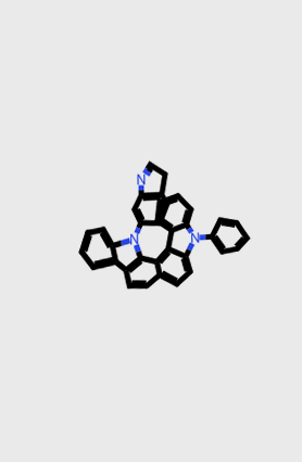 C1=Nc2cc(-n3c4ccccc4c4ccc5ccc6c(c7ccccc7n6-c6ccccc6)c5c43)ccc2C1